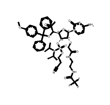 COc1ccc(C(OC(C(C)=O)[C@H]2O[C@@H](n3ccc(N)nc3=O)[C@H](OCC(=O)NCCNC(=O)C(F)(F)F)[C@@H]2OP(=O)(OCCC#N)N(C(C)C)C(C)C)(c2ccccc2)c2ccccc2)cc1